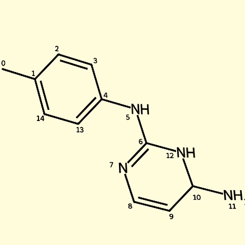 Cc1ccc(NC2=NC=CC(N)N2)cc1